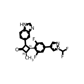 C[C@H]1C(=O)C(c2ccc3[nH]cnc3c2)[C@H]1c1c(F)cc(-c2cnn(C(F)F)c2)cc1F